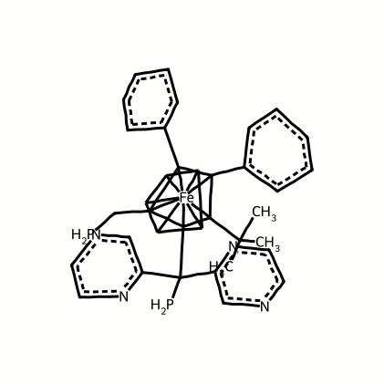 CC(C)(C)[C]12[C]3(c4ccccc4)[C]4(c5ccccc5)[C]5(CP)[C]1(C(P)(c1cnccn1)c1cnccn1)[Fe]54321678[CH]2[CH]1[CH]6[CH]7[CH]28